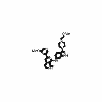 COCCN1CCN(c2n[nH]c3cc(Nc4nc(-c5cncc(OC)n5)cc5cc[nH]c(=O)c45)ccc23)CC1